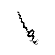 CCCCCCCCCCOc1ccc(CNC(=O)O)cc1